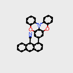 N#Cc1c2ccccc2cc2cccc(-c3cc4c5c(c3)Oc3ccccc3N5c3ccccc3O4)c12